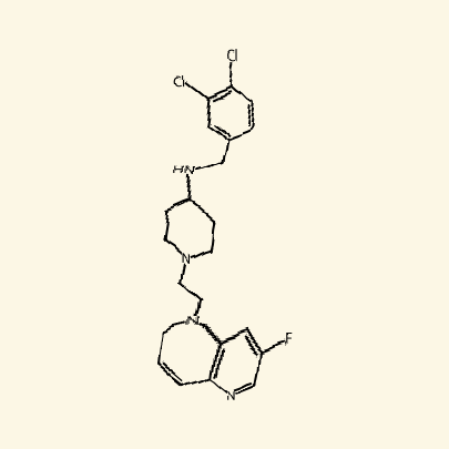 Fc1cnc2c(c1)N(CCN1CCC(NCc3ccc(Cl)c(Cl)c3)CC1)CC=C2